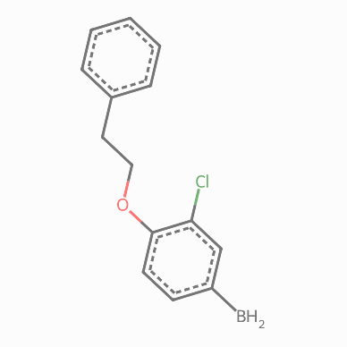 Bc1ccc(OCCc2ccccc2)c(Cl)c1